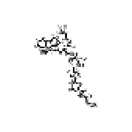 CC(C)[C@H](NC(=O)[C@]1(C)CSC(c2cccc(CNC(=O)OC(C)(C)C)n2)=N1)C(=O)O[C@H](/C=C/CCO[Si](c1ccccc1)(c1ccccc1)C(C)(C)C)CC(=O)OCC[Si](C)(C)C